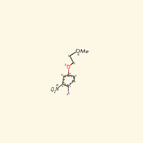 COCCOc1ccc(I)c([N+](=O)[O-])c1